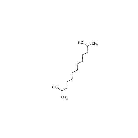 CC(O)CCCCCCCCCC(C)O